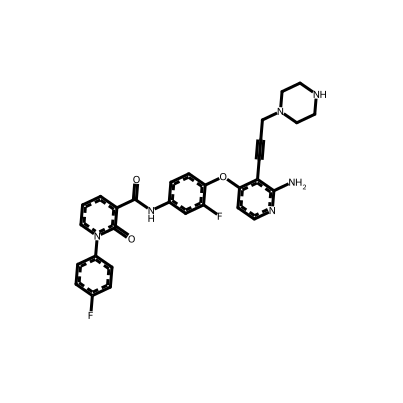 Nc1nccc(Oc2ccc(NC(=O)c3cccn(-c4ccc(F)cc4)c3=O)cc2F)c1C#CCN1CCNCC1